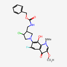 CNn1cc(OC(=O)O)c(=O)c2cc(F)c(N3CC(Cl)C(CNC(=O)OCc4ccccc4)C3)c(O)c21